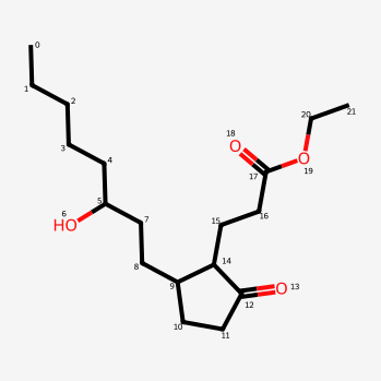 CCCCCC(O)CCC1CCC(=O)C1CCC(=O)OCC